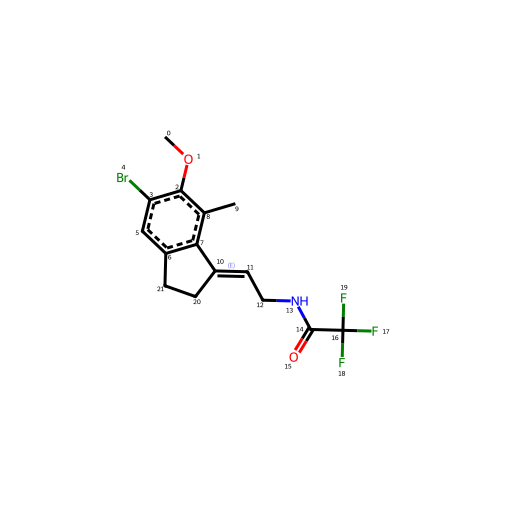 COc1c(Br)cc2c(c1C)/C(=C/CNC(=O)C(F)(F)F)CC2